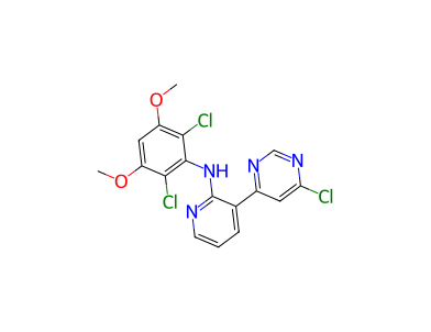 COc1cc(OC)c(Cl)c(Nc2ncccc2-c2cc(Cl)ncn2)c1Cl